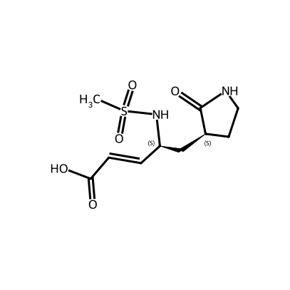 CS(=O)(=O)N[C@H](C=CC(=O)O)C[C@@H]1CCNC1=O